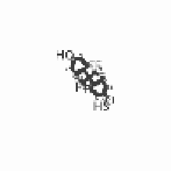 Oc1ccc(C(c2ccc(OS)cc2)(C(F)(F)F)C(F)(F)F)cc1